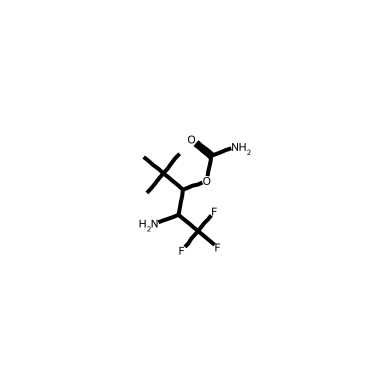 CC(C)(C)C(OC(N)=O)C(N)C(F)(F)F